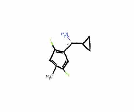 Cc1cc(F)c([C@H](N)C2CC2)cc1F